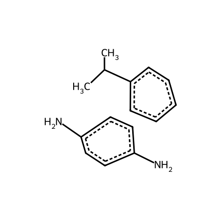 CC(C)c1ccccc1.Nc1ccc(N)cc1